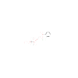 O=C(OCCOC(=O)C(O)(C(F)(F)F)C(F)(F)F)c1ccccc1Br